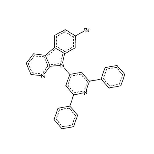 Brc1ccc2c3cccnc3n(-c3cc(-c4ccccc4)nc(-c4ccccc4)c3)c2c1